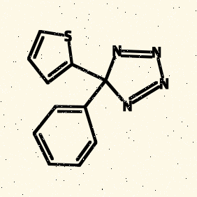 c1ccc(C2(c3cccs3)N=NN=N2)cc1